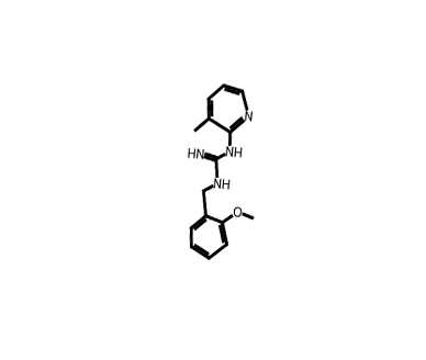 COc1ccccc1CNC(=N)Nc1ncccc1C